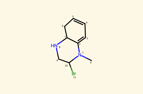 CN1C2=CC=CCC2NCC1Br